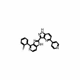 Fc1ccccc1-c1nccc2[nH]c(-c3n[nH]c4ccc(-c5ccncc5)nc34)nc12